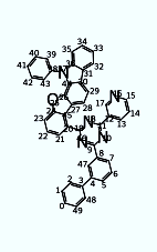 c1ccc(-c2cccc(-c3nc(-c4cccnc4)nc(-c4cccc5oc6c(ccc7c8ccccc8n(-c8ccccc8)c76)c45)n3)c2)cc1